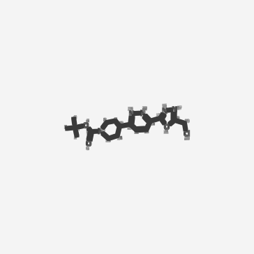 CC(C)(C)OC(=O)N1CCC(c2ccc(-c3nnc(CCl)o3)nn2)CC1